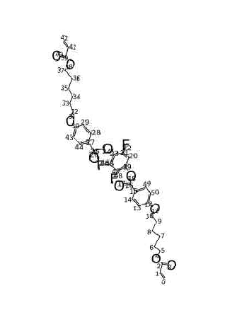 C=CC(=O)OCCCCCCOc1ccc(C(=O)Oc2cc(F)c(OC(=O)c3ccc(OCCCCCCOC(=O)C=C)cc3)c(F)c2F)cc1